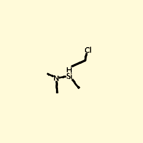 CN(C)[SiH](C)CCCl